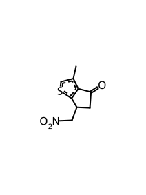 Cc1csc2c1C(=O)CC2C[N+](=O)[O-]